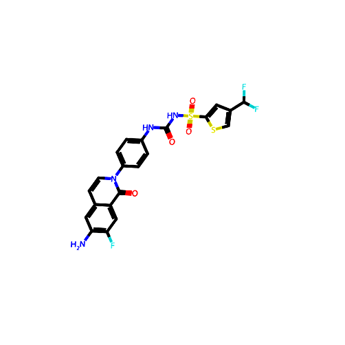 Nc1cc2ccn(-c3ccc(NC(=O)NS(=O)(=O)c4cc(C(F)F)cs4)cc3)c(=O)c2cc1F